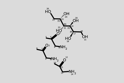 CC(=O)CN.CC(=O)CN.CC(=O)CN.OC[C@@H](O)[C@H](O)[C@H](O)[C@@H](O)CO